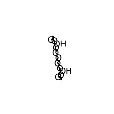 C=CC(=O)OCC(O)COCCOCCOCCOCCOCC(O)COC(=O)C=C